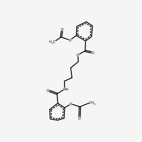 CC(=O)Oc1ccccc1C(=O)NCCCCOC(=O)c1ccccc1OC(C)=O